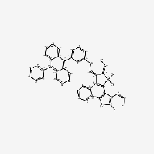 C/C=C\c1c(C)sc2c1c1c(c3ccccc32)C(=C/Cc2cccc(-c3c4ccccc4c(-c4ccccc4)c4ccccc34)c2)/C(=C\C)C1(C)C